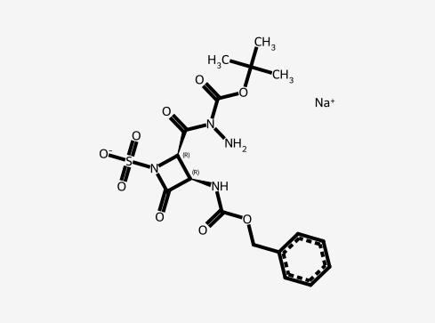 CC(C)(C)OC(=O)N(N)C(=O)[C@H]1[C@@H](NC(=O)OCc2ccccc2)C(=O)N1S(=O)(=O)[O-].[Na+]